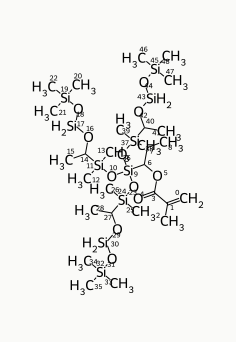 C=C(C)C(=O)OC(CC)[Si](O[Si](C)(C)C(C)O[SiH2]O[Si](C)(C)C)(O[Si](C)(C)C(C)O[SiH2]O[Si](C)(C)C)O[Si](C)(C)C(C)O[SiH2]O[Si](C)(C)C